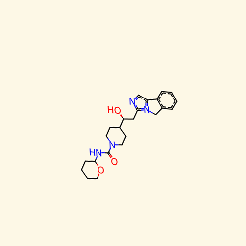 O=C(NC1CCCCO1)N1CCC([C@@H](O)Cc2ncc3n2Cc2ccccc2-3)CC1